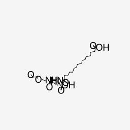 COCCOCCNC(=O)CC[C@H](NC(=O)CCCCCCCCCCCCCCC(=O)O)C(=O)O